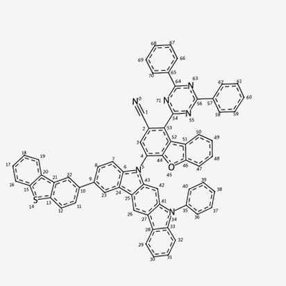 N#Cc1cc(-n2c3ccc(-c4ccc5sc6ccccc6c5c4)cc3c3cc4c5ccccc5n(-c5ccccc5)c4cc32)c2oc3ccccc3c2c1-c1nc(-c2ccccc2)nc(-c2ccccc2)n1